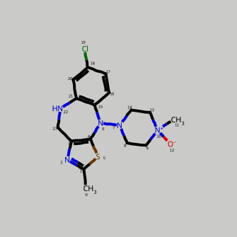 Cc1nc2c(s1)N(N1CC[N+](C)([O-])CC1)c1ccc(Cl)cc1NC2